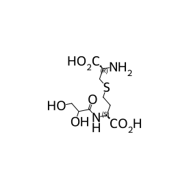 N[C@@H](CSCC[C@H](NC(=O)C(O)CO)C(=O)O)C(=O)O